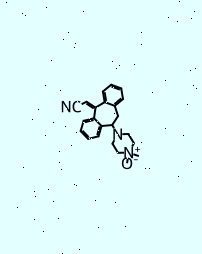 C[N+]1([O-])CCN(C2Cc3ccccc3/C(=C/C#N)c3ccccc32)CC1